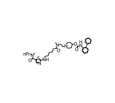 CCCN(C)C(=O)c1cnc(NCCCCCC(=O)N(C)CCN2CCC(OC(=O)Nc3ccccc3-c3ccccc3)CC2)s1